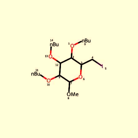 CCCCOC1C(CI)OC(OC)C(OCCCC)C1OCCCC